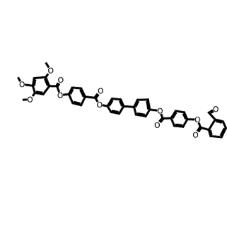 COc1cc(OC)c(C(=O)Oc2ccc(C(=O)Oc3ccc(-c4ccc(OC(=O)c5ccc(OC(=O)c6ccccc6C=O)cc5)cc4)cc3)cc2)cc1OC